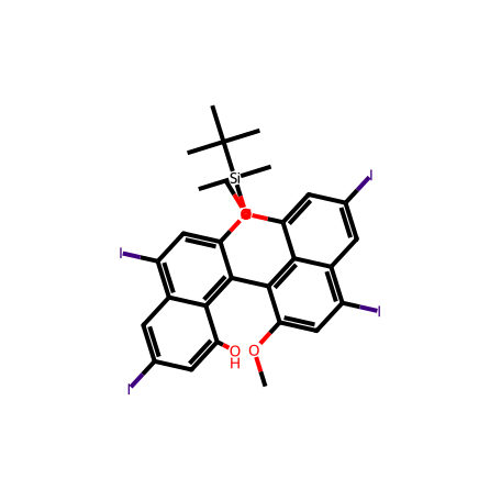 COc1cc(I)c2cc(I)cc(O)c2c1-c1c(OC)cc(I)c2cc(I)cc(O[Si](C)(C)C(C)(C)C)c12